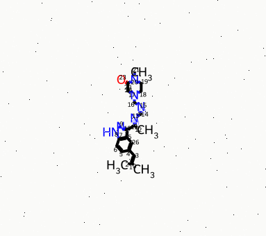 CC(C)=Cc1ccc2[nH]nc(/C(C)=N/C=N\CN3CCN(C)C(=O)C3)c2c1